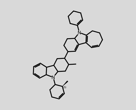 CC1CC2C(CC1C1C=C3C4=C(CCCC=C4)N(C4=CCCCC4)C3CC1)C1C=CC=CC1N2C1CCC=C[C@@H]1C